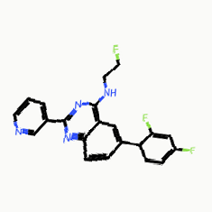 FCCNc1nc(-c2cccnc2)nc2ccc(C3CC=C(F)C=C3F)cc12